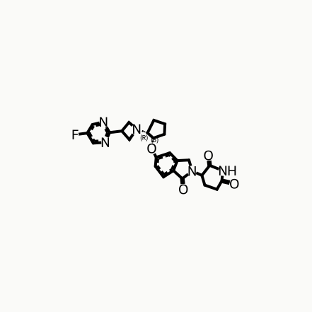 O=C1CCC(N2Cc3cc(O[C@H]4CCC[C@H]4N4CC(c5ncc(F)cn5)C4)ccc3C2=O)C(=O)N1